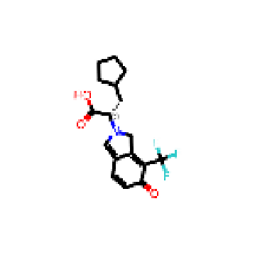 O=C1C=CC2=CN([C@@H](CC3CCCC3)C(=O)O)CC2=C1C(F)(F)F